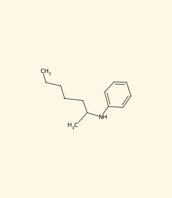 CCCCCC(C)Nc1ccccc1